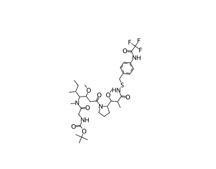 CCC(C)C(C(CC(=O)N1CCCC1C(OC)C(C)C(=O)NSCc1ccc(NC(=O)C(F)(F)F)cc1)OC)N(C)C(=O)CNC(=O)OC(C)(C)C